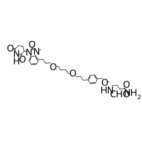 Cn1c(=O)n(C2CCC(=O)NC2=O)c2cccc(CCCOCCCCOCCCc3ccc(COC[C@H](CCC(N)=O)NC=O)cc3)c21